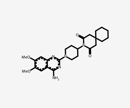 COc1cc2nc(N3CCC(N4C(=O)CC5(CCCCC5)CC4=O)CC3)nc(N)c2cc1OC